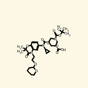 CC(C)(C)OC(=O)N1C[C@@H](C(=O)O)C[C@@H](C(=O)N(c2ccc3c(c2)N(CCOC2CCCCO2)C(=O)C(C)(C)O3)C2CC2)C1